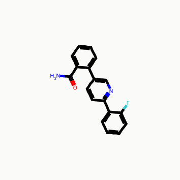 NC(=O)c1ccccc1-c1ccc(-c2ccccc2F)nc1